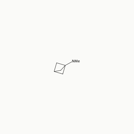 CNC12CC(C1)C2